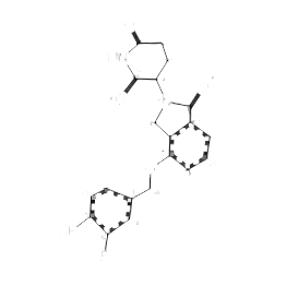 O=C1CCC(N2Cc3c(OCc4ccc(F)c(F)c4)cccc3C2=O)C(=O)N1